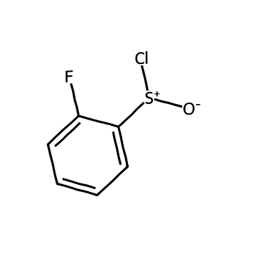 [O-][S+](Cl)c1ccccc1F